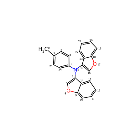 Cc1ccc(N(c2coc3ccccc23)c2coc3ccccc23)cc1